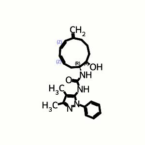 C=C1/C=C\C=C/C[C@@H](NC(=O)Nc2c(C)c(C)nn2-c2ccccc2)[C@H](O)CCC1